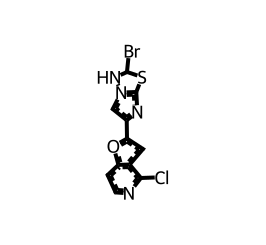 Clc1nccc2oc(-c3cn4c(n3)SC(Br)N4)cc12